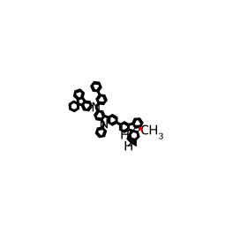 CC[C@H]1CC23C[C@@H]2C[C@H](C3)[C@@]12c1ccccc1-c1cc(-c3ccc4c5cc(N(c6cccc(-c7ccccc7)c6)c6ccc7c(c6)-c6ccccc6C76CCCCC6)ccc5n(-c5ccccc5)c4c3)ccc12